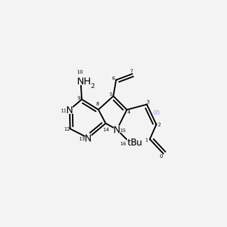 C=C/C=C\c1c(C=C)c2c(N)ncnc2n1C(C)(C)C